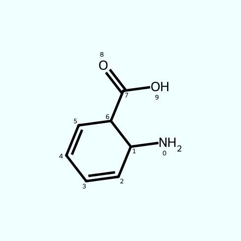 NC1C=CC=CC1C(=O)O